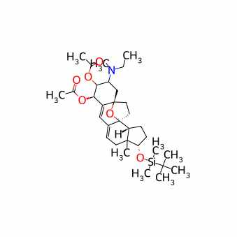 CCN(C)C1C[C@@]23CC[C@@]4(O2)C(=CCC2(C)[C@@H](O[Si](C)(C)C(C)(C)C)CC[C@H]24)C=C3[C@@H](OC(C)=O)C1OC(C)=O